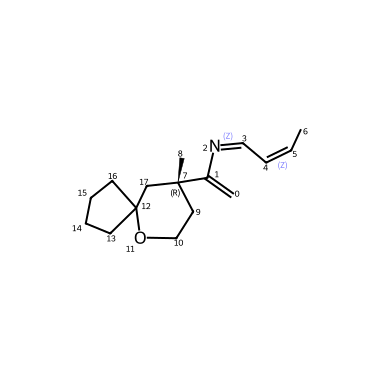 C=C(/N=C\C=C/C)[C@]1(C)CCOC2(CCCC2)C1